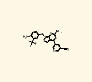 N#Cc1cncc(-c2nc(N)nc3c2cnn3Cc2ccc(N)c(C(F)(F)F)c2)c1